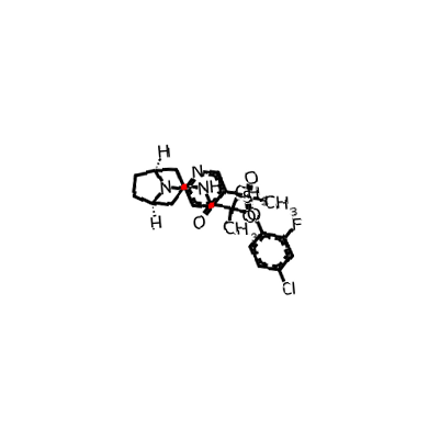 CC(C)(Oc1ccc(Cl)cc1F)C(=O)N[C@H]1C[C@H]2CC[C@@H](C1)N2c1ccc(S(C)(=O)=O)cn1